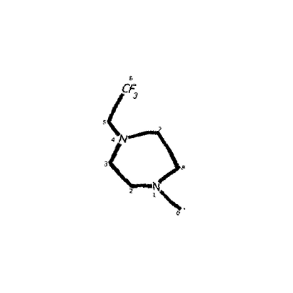 [CH2]N1CCN(CC(F)(F)F)CC1